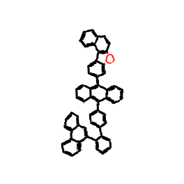 c1ccc(-c2cc3ccccc3c3ccccc23)c(-c2ccc(-c3c4ccccc4c(-c4ccc5c(c4)oc4ccc6ccccc6c45)c4ccccc34)cc2)c1